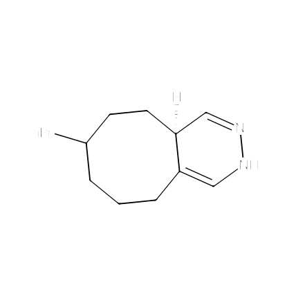 CC(C)C1CCCC2=CNN=C[C@@H]2CC1